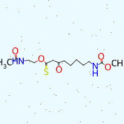 COC(=O)NCCCCCC(=O)CC(=S)OCCNC(C)=O